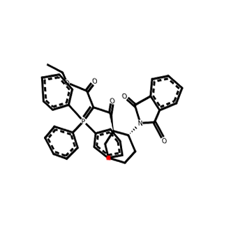 CCOC(=O)C(C(=O)[C@@H]1CCCC[C@H]1N1C(=O)c2ccccc2C1=O)=P(c1ccccc1)(c1ccccc1)c1ccccc1